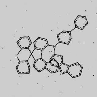 c1ccc(-c2ccc(N(c3ccc4oc5ccccc5c4c3)c3cccc4c3-c3c(ccc5ccccc35)C43c4ccccc4Sc4ccccc43)cc2)cc1